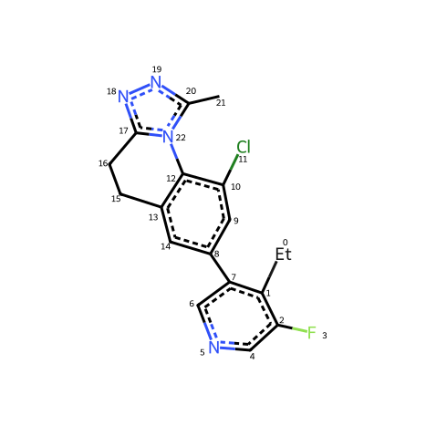 CCc1c(F)cncc1-c1cc(Cl)c2c(c1)CCc1nnc(C)n1-2